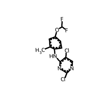 Cc1cc(OC(F)F)ccc1Nc1nc(Cl)ncc1Cl